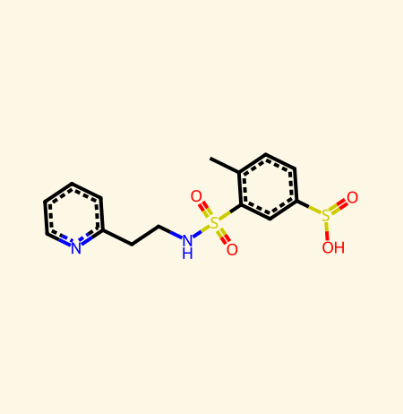 Cc1ccc(S(=O)O)cc1S(=O)(=O)NCCc1ccccn1